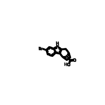 O=C(O)N1C2CCC1c1c([nH]c3cc(Br)ccc13)C2